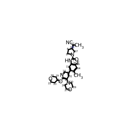 C/C(C#N)=C1/CCN(C(=O)Nc2cc(-c3cnc(OC4CCOCC4)c(N4CCOCC4)c3)c(C)cc2F)C1